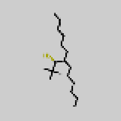 CCCCCCC(CCCCCC)C(S)C(C)(C)C